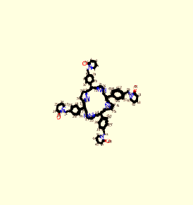 O=c1ccccn1Cc1ccc(-c2c3nc(c(-c4ccc(Cn5ccccc5=O)cc4)c4ccc([nH]4)c(-c4ccc(Cn5ccccc5=O)cc4)c4nc(c(-c5ccc(Cn6ccccc6=O)cc5)c5ccc2[nH]5)C=C4)C=C3)cc1